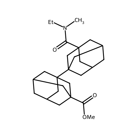 CCN(C)C(=O)C12CC3CC(C1)CC(C14CC5CC(CC(C(=O)OC)(C5)C1)C4)(C3)C2